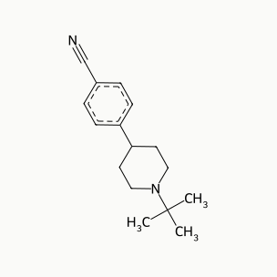 CC(C)(C)N1CCC(c2ccc(C#N)cc2)CC1